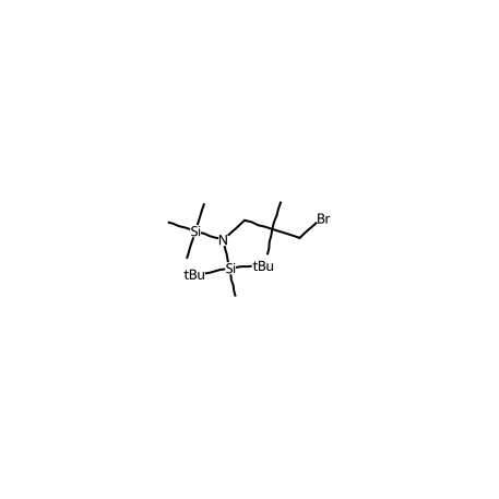 CC(C)(CBr)CN([Si](C)(C)C)[Si](C)(C(C)(C)C)C(C)(C)C